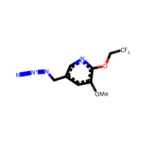 COc1cc(CN=[N+]=[N-])cnc1OCC(F)(F)F